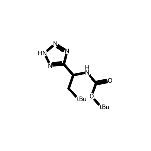 CC(C)(C)CC(NC(=O)OC(C)(C)C)c1nn[nH]n1